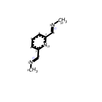 C/N=C/c1cccc(/C=N/C)n1